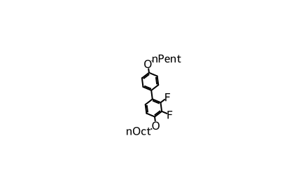 CCCCCCCCOc1ccc(-c2ccc(OCCCCC)cc2)c(F)c1F